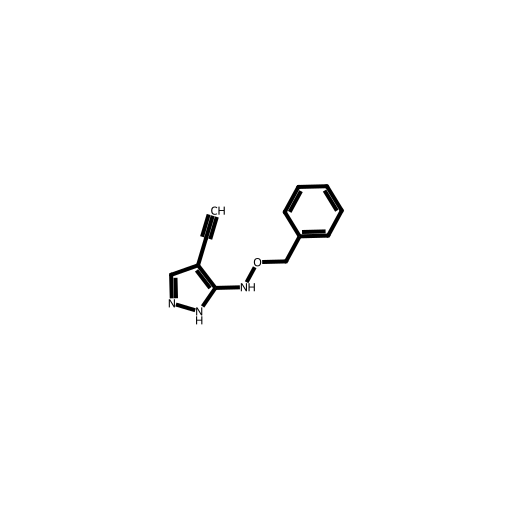 C#Cc1cn[nH]c1NOCc1ccccc1